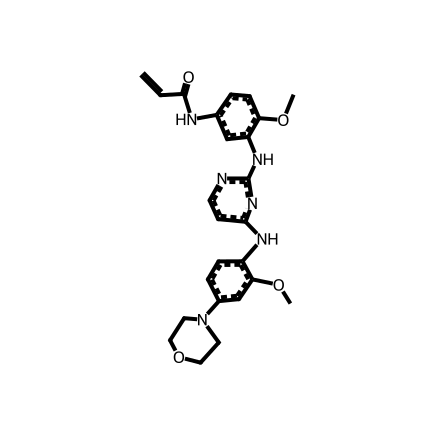 C=CC(=O)Nc1ccc(OC)c(Nc2nccc(Nc3ccc(N4CCOCC4)cc3OC)n2)c1